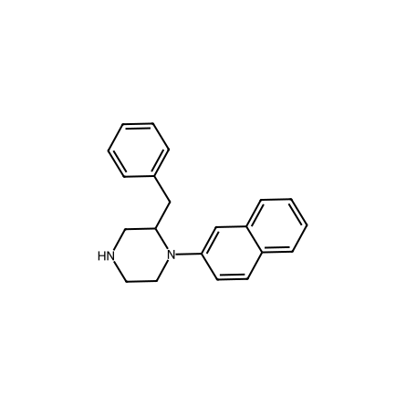 c1ccc(CC2CNCCN2c2ccc3ccccc3c2)cc1